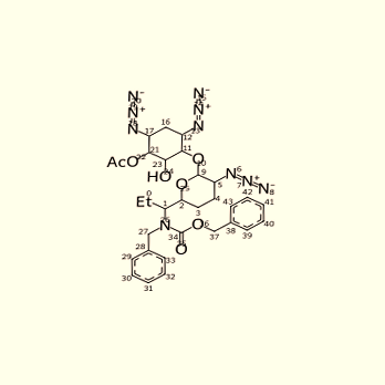 CCC(C1CCC(N=[N+]=[N-])C(OC2C(N=[N+]=[N-])CC(N=[N+]=[N-])C(OC(C)=O)C2O)O1)N(Cc1ccccc1)C(=O)OCc1ccccc1